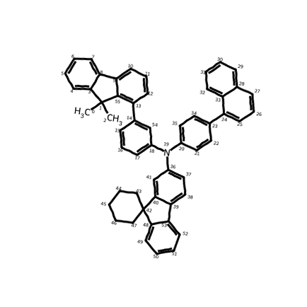 CC1(C)c2ccccc2-c2cccc(-c3cccc(N(c4ccc(-c5cccc6ccccc56)cc4)c4ccc5c(c4)C4(CCCCC4)c4ccccc4-5)c3)c21